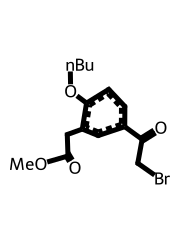 CCCCOc1ccc(C(=O)CBr)cc1CC(=O)OC